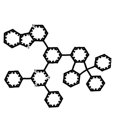 c1ccc(-c2nc(-c3ccccc3)nc(-c3cc(-c4cccc5c4-c4ccccc4C5(c4ccccc4)c4ccccc4)cc(-c4ccnc5c4sc4ccccc45)c3)n2)cc1